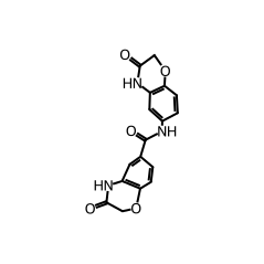 O=C1COc2ccc(NC(=O)c3ccc4c(c3)NC(=O)CO4)cc2N1